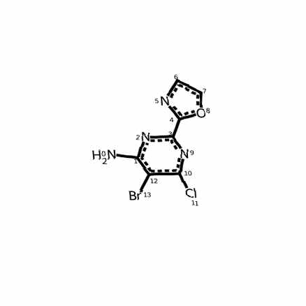 Nc1nc(-c2ncco2)nc(Cl)c1Br